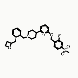 CS(=O)(=O)c1ccc(COc2cccc(C3CCN(CC4C=CC=C[C@@H]4CC4CCO4)CC3)n2)c(F)c1